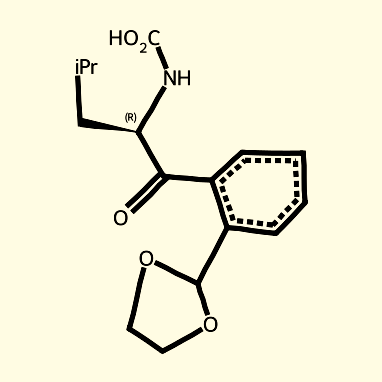 CC(C)C[C@@H](NC(=O)O)C(=O)c1ccccc1C1OCCO1